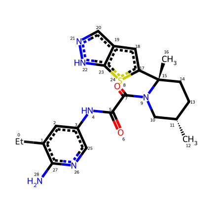 CCc1cc(NC(=O)C(=O)N2C[C@@H](C)CC[C@@]2(C)c2cc3cn[nH]c3s2)cnc1N